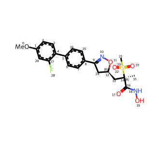 COc1ccc(-c2ccc(C3=NO[C@@H](C[C@](C)(C(=O)NO)S(C)(=O)=O)C3)cc2)c(F)c1